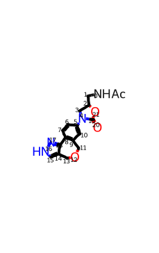 CC(=O)NCC1CN(c2ccc3c(c2)COCc2c[nH]nc2-3)C(=O)O1